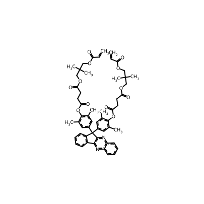 C=CC(=O)OCC(C)(C)COC(=O)CCC(=O)Oc1c(C)cc(C2(c3cc(C)c(OC(=O)CCC(=O)OCC(C)(C)COC(=O)C=C)c(C)c3)c3ccccc3-c3nc4ccccc4nc32)cc1C